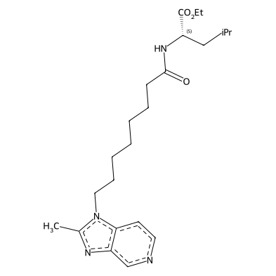 CCOC(=O)[C@H](CC(C)C)NC(=O)CCCCCCCn1c(C)nc2cnccc21